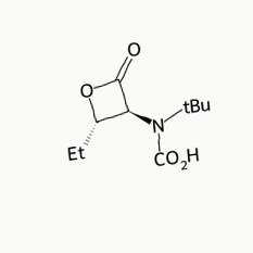 CC[C@@H]1OC(=O)[C@H]1N(C(=O)O)C(C)(C)C